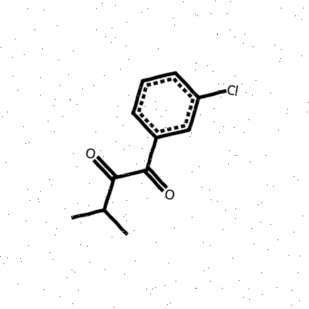 CC(C)C(=O)C(=O)c1cccc(Cl)c1